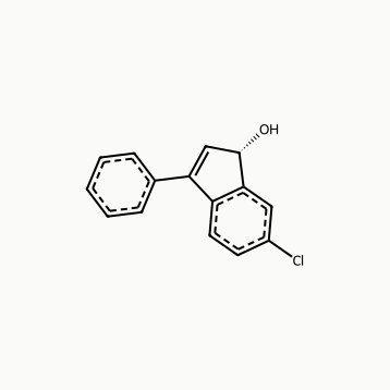 O[C@H]1C=C(c2ccccc2)c2ccc(Cl)cc21